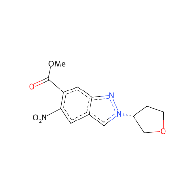 COC(=O)c1cc2nn([C@@H]3CCOC3)cc2cc1[N+](=O)[O-]